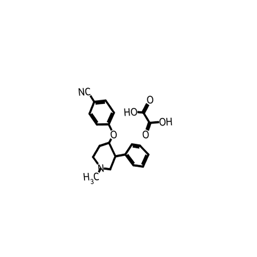 CN1CCC(Oc2ccc(C#N)cc2)C(c2ccccc2)C1.O=C(O)C(=O)O